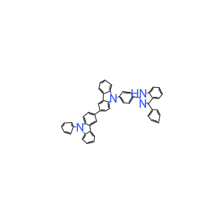 c1ccc(C2=NC(c3ccc(-n4c5ccccc5c5cc(-c6ccc7c(c6)c6ccccc6n7-c6ccccc6)ccc54)cc3)Nc3ccccc32)cc1